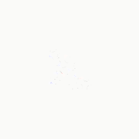 CCOc1cc(N2CCN(C(=O)C3(c4ccccc4)CCCC3)C[C@H]2CC)c(C(=O)N[C@@H]2CCNC2)nc1-c1cccnc1